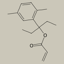 C=CC(=O)OC(CC)(CC)c1cc(C)ccc1C